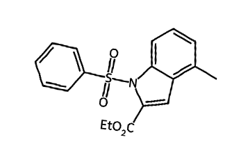 CCOC(=O)c1cc2c(C)cccc2n1S(=O)(=O)c1ccccc1